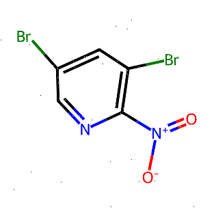 O=[N+]([O-])c1ncc(Br)cc1Br